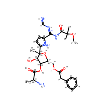 CCCCOC(C)(C)C(=O)N/C(=N/C=N)c1ccc([C@]2(C#N)O[C@H](COC(=O)Cc3ccccc3)[C@@H](OC(=O)[C@@H](N)C(C)C)[C@H]2O)[nH]1